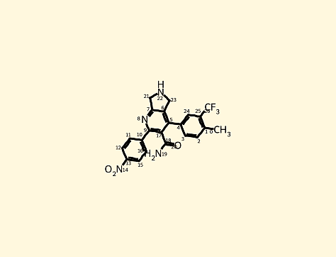 Cc1ccc(-c2c3c(nc(-c4ccc([N+](=O)[O-])cc4)c2C(N)=O)CNC3)cc1C(F)(F)F